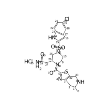 CC1Cc2nc(C(=O)N3CCN(S(=O)(=O)c4cc5cc(Cl)ccc5[nH]4)CC3CC(N)=O)sc2CN1.Cl